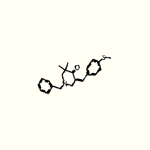 CSc1ccc(/C=C2/CN(Cc3ccccc3)CC(C)(C)C2=O)cc1